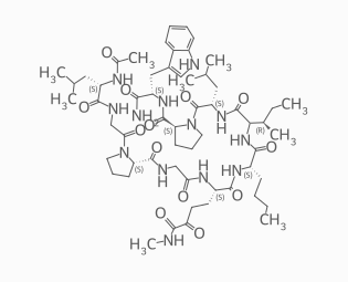 CCCC[C@H](NC(=O)[C@H](CCC(=O)C(=O)NC)NC(=O)CNC(=O)[C@@H]1CCCN1C(=O)CNC(=O)[C@H](CC(C)C)NC(C)=O)C(=O)NC(C(=O)N[C@@H](CC(C)C)C(=O)N1CCC[C@H]1C(=O)N[C@@H](Cc1c[nH]c2ccccc12)C(N)=O)[C@H](C)CC